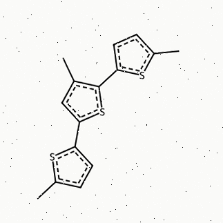 Cc1ccc(-c2cc(C)c(-c3ccc(C)s3)s2)s1